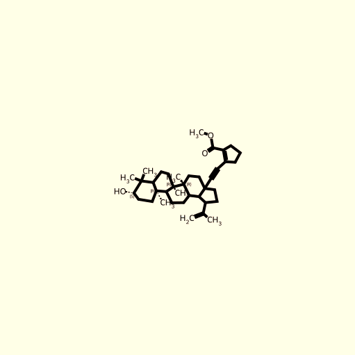 C=C(C)C1CCC2(C#CC3=C(C(=O)OC)CCC3)CC[C@]3(C)C(CCC4[C@@]5(C)CC[C@H](O)C(C)(C)C5CC[C@]43C)C12